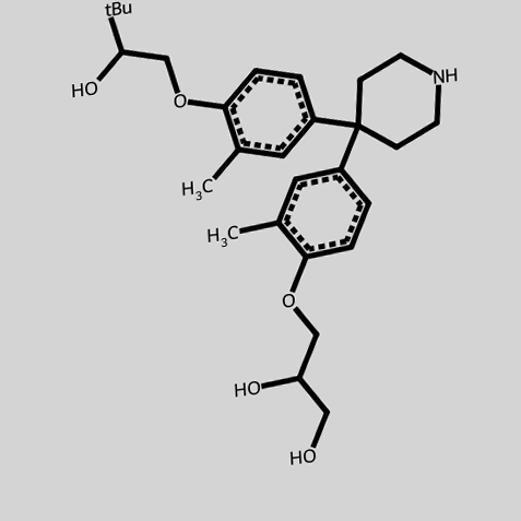 Cc1cc(C2(c3ccc(OCC(O)C(C)(C)C)c(C)c3)CCNCC2)ccc1OCC(O)CO